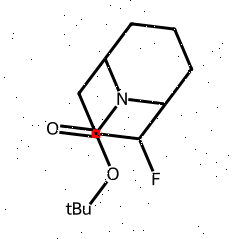 CC(C)(C)OC(=O)N1C2CCCC1C(F)CC2